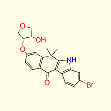 CC1(C)c2cc(OC3COCC3O)ccc2C(=O)c2c1[nH]c1cc(Br)ccc21